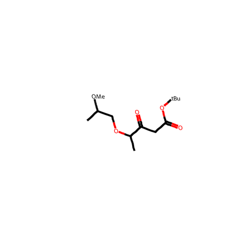 COC(C)COC(C)C(=O)CC(=O)OC(C)(C)C